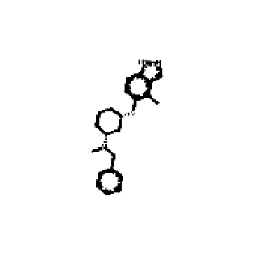 Cc1c(O[C@H]2CCC[C@@H](N(C)Cc3ccccc3)C2)ccc2[nH]ncc12